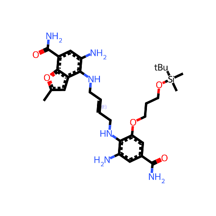 Cc1cc2c(NC/C=C/CNc3c(N)cc(C(N)=O)cc3OCCCO[Si](C)(C)C(C)(C)C)c(N)cc(C(N)=O)c2o1